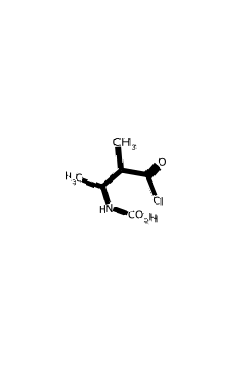 CC(NC(=O)O)C(C)C(=O)Cl